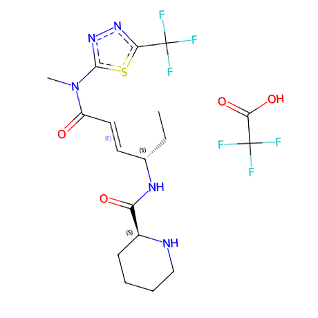 CC[C@@H](/C=C/C(=O)N(C)c1nnc(C(F)(F)F)s1)NC(=O)[C@@H]1CCCCN1.O=C(O)C(F)(F)F